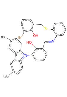 CC(C)(C)c1ccc2c(c1)c1cc(C(C)(C)C)ccc1n2-c1cccc(/C=N/c2ccccc2SCc2cccc(Br)c2O)c1O